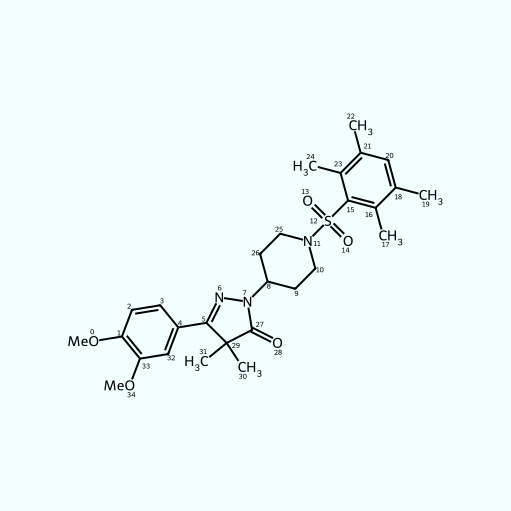 COc1ccc(C2=NN(C3CCN(S(=O)(=O)c4c(C)c(C)cc(C)c4C)CC3)C(=O)C2(C)C)cc1OC